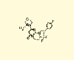 C[C@@H]1COCCN1c1cc(=O)n2c(n1)N(CCc1ccc(F)cc1)C(C(F)(F)F)CC2